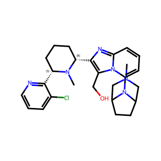 CN1CC2CCC(C1)N2c1cccc2nc([C@H]3CCC[C@@H](c4ncccc4Cl)N3C)c(CO)n12